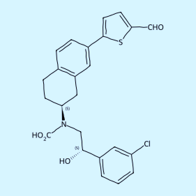 O=Cc1ccc(-c2ccc3c(c2)C[C@@H](N(C[C@@H](O)c2cccc(Cl)c2)C(=O)O)CC3)s1